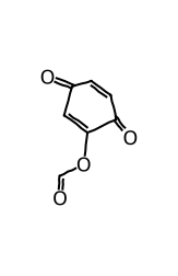 O=COC1=CC(=O)C=CC1=O